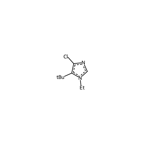 CCn1cnc(Cl)c1C(C)(C)C